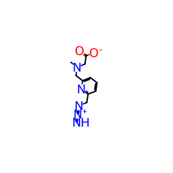 CN(CC(=O)[O-])Cc1cccc(CN=[N+]=N)n1